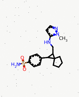 Cn1nccc1NCC1C(c2ccc(S(N)(=O)=O)cc2)C12CCCC2